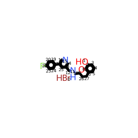 Br.Oc1cccc2c1OC(CNCc1cncc(-c3ccc(F)cc3)c1)CC2